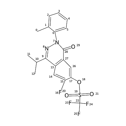 Cc1ccccc1-n1nc(C(C)C)c2cc(F)c(OS(=O)(=O)C(F)(F)F)cc2c1=O